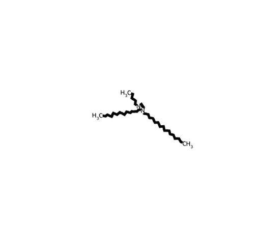 CCCCCCCCCCCCCCCCN1C=CN(CCCCC)C1CCCCCCCCCCCC